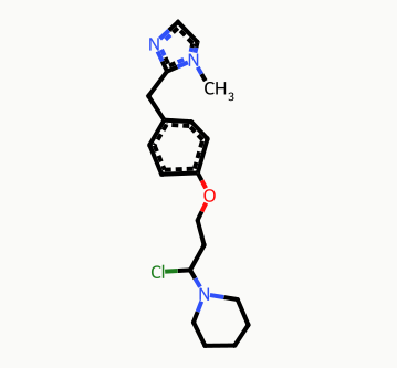 Cn1ccnc1Cc1ccc(OCCC(Cl)N2CCCCC2)cc1